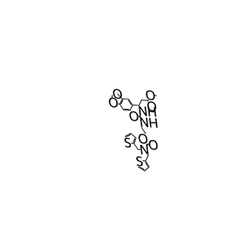 COC(=O)CC(NC(=O)NCCOC(=O)N(Cc1cccs1)Cc1cccs1)c1ccc2c(c1)OCO2